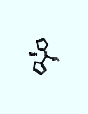 C[SiH](C1=CC=CC1)C1=CC=CC1.[NaH]